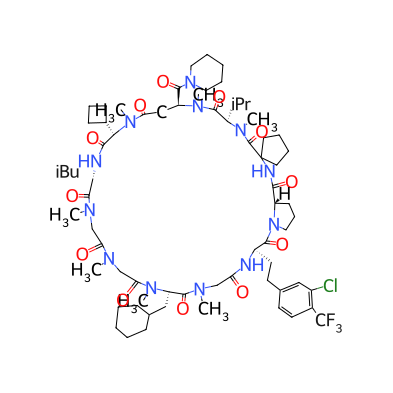 CC[C@H](C)[C@@H]1NC(=O)[C@H](C2CCC2)N(C)C(=O)C[C@@H](C(=O)N2CCCCC2)N(C)C(=O)[C@H](C(C)C)N(C)C(=O)C2(CCCC2)NC(=O)[C@@H]2CCCN2C(=O)[C@H](CCc2ccc(C(F)(F)F)c(Cl)c2)NC(=O)CN(C)C(=O)[C@H](CC2CCCCC2)N(C)C(=O)CN(C)C(=O)CN(C)C1=O